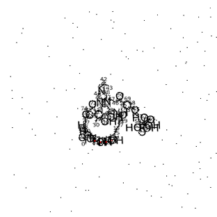 CC(=O)O[C@H]1[C@H](C)[C@H](O)[C@H](C)[C@@H](O)[C@@H](C)/C=C/C=C(/C)C(=O)NC2=C(O)c3c(O)c(C)c4c(c3C3=NC5(CCN(CC(C)C)CC5)N(CCC(=O)c5ccc(OCCCC(P(=O)(O)O)P(=O)(O)O)cc5)C32)C(=O)[C@@](C)(O/C=C/[C@H](C)[C@H]1C)O4